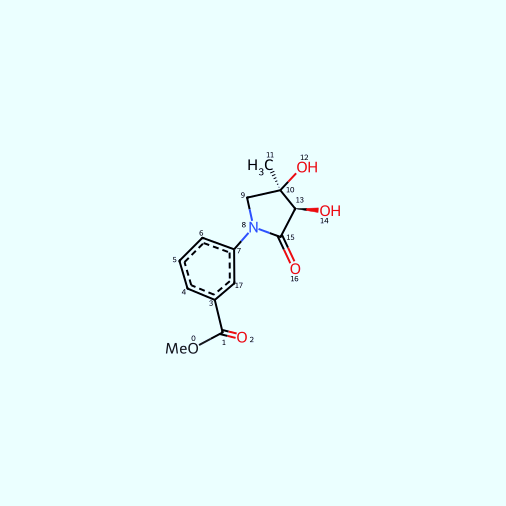 COC(=O)c1cccc(N2C[C@@](C)(O)[C@@H](O)C2=O)c1